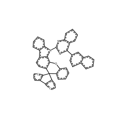 c1ccc2c(c1)Oc1c(ccc3c4ccccc4n(-c4nc(-c5ccc6ccccc6c5)c5ccccc5n4)c13)C21c2ccccc2-c2ccccc21